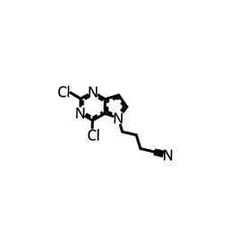 N#CCCCn1ccc2nc(Cl)nc(Cl)c21